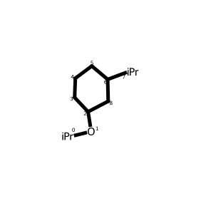 CC(C)OC1CCCC(C(C)C)C1